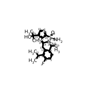 CC(C)c1ccc(F)c(C(C)C)c1CC(=O)N=[S@@](N)(=O)c1cc(C(C)(C)O)cs1